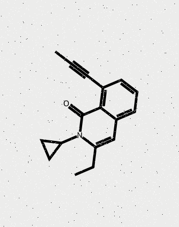 CC#Cc1cccc2cc(CC)n(C3CC3)c(=O)c12